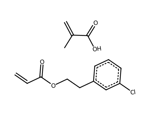 C=C(C)C(=O)O.C=CC(=O)OCCc1cccc(Cl)c1